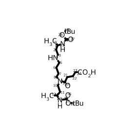 CC(CCNCCCCN(CCC(C)NC(=O)OC(C)(C)C)C(=O)CCCC(=O)O)NC(=O)OC(C)(C)C